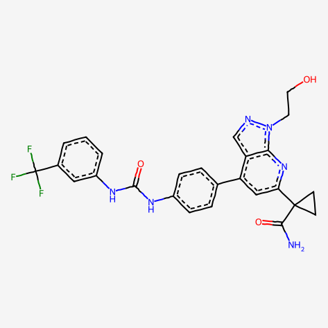 NC(=O)C1(c2cc(-c3ccc(NC(=O)Nc4cccc(C(F)(F)F)c4)cc3)c3cnn(CCO)c3n2)CC1